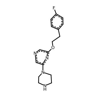 Fc1ccc(CCOc2cncc(N3CCNCC3)n2)cc1